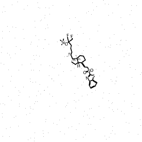 C[C@H](CCCC(CF)(CF)O[Si](C)(C)C)[C@H]1CC[C@H]2C(=CCS(=O)(=O)c3nc4ccccc4s3)CCC[C@]12C